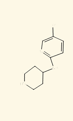 CC(C)(C)c1ccc(NC2CCNCC2)nc1